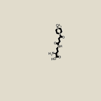 CN1CCN(C(=O)CCC(=O)NCC[C@H](N)C(=O)O)CC1